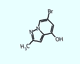 Cc1cc2c(O)cc(Br)cn2n1